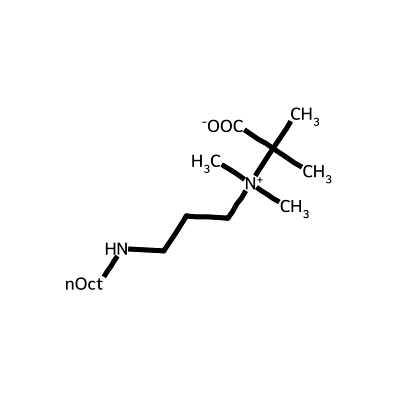 CCCCCCCCNCCC[N+](C)(C)C(C)(C)C(=O)[O-]